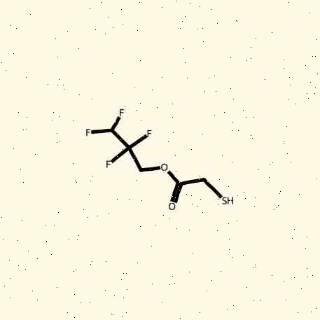 O=C(CS)OCC(F)(F)C(F)F